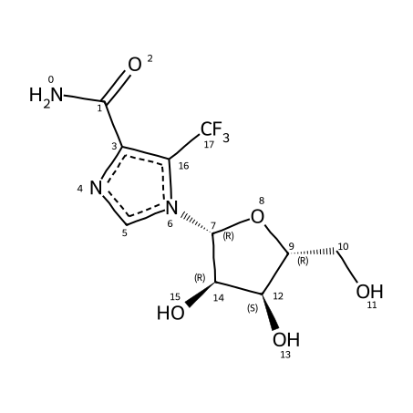 NC(=O)c1ncn([C@@H]2O[C@H](CO)[C@@H](O)[C@H]2O)c1C(F)(F)F